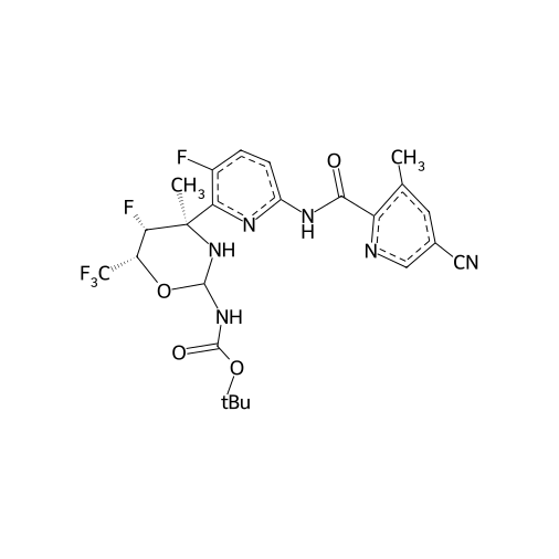 Cc1cc(C#N)cnc1C(=O)Nc1ccc(F)c([C@@]2(C)NC(NC(=O)OC(C)(C)C)O[C@H](C(F)(F)F)[C@@H]2F)n1